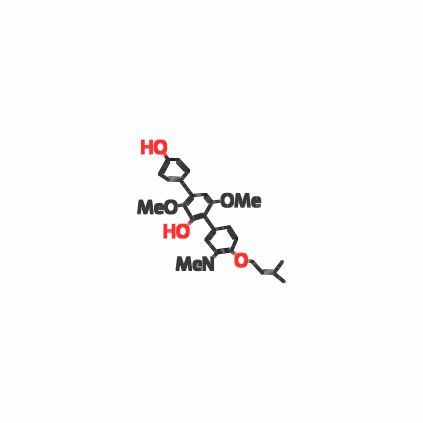 CNc1cc(-c2c(OC)cc(-c3ccc(O)cc3)c(OC)c2O)ccc1OCC=C(C)C